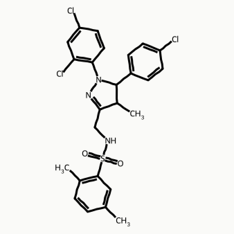 Cc1ccc(C)c(S(=O)(=O)NCC2=NN(c3ccc(Cl)cc3Cl)C(c3ccc(Cl)cc3)C2C)c1